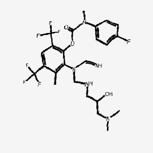 Cc1c(C(F)(F)F)cc(C(F)(F)F)c(OC(=O)N(C)c2ccc(F)cc2)c1N(C=N)CNCC(O)CN(C)C